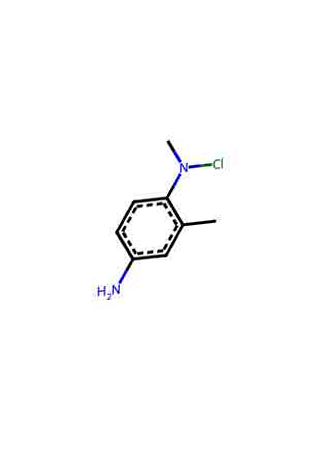 Cc1cc(N)ccc1N(C)Cl